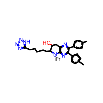 Cc1ccc(-c2nc3c(nc2-c2ccc(C)cc2)N(C(C)C)C(CCCCCc2nnn[nH]2)C(O)C3)cc1